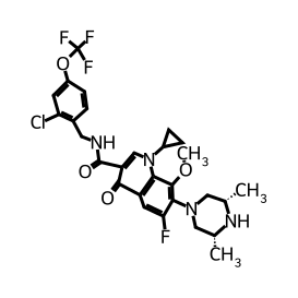 COc1c(N2C[C@@H](C)N[C@@H](C)C2)c(F)cc2c(=O)c(C(=O)NCc3ccc(OC(F)(F)F)cc3Cl)cn(C3CC3)c12